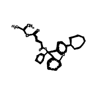 CC(C)OC(=O)CCC(=O)OC(c1ccccc1)(c1ccc(C2CCCCCC2)cc1)c1ccccc1Cl